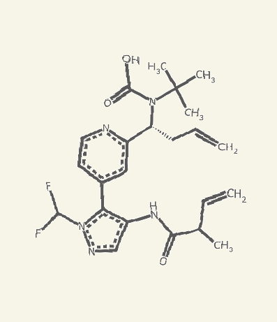 C=CC[C@H](c1cc(-c2c(NC(=O)C(C)C=C)cnn2C(F)F)ccn1)N(C(=O)O)C(C)(C)C